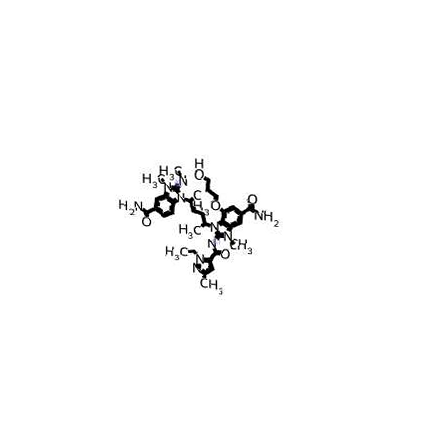 CCn1nc(C)cc1C(=O)/N=c1\n(C)c2cc(C(N)=O)cc(OCCCO)c2n1C(C)CCC(C)n1/c(=N/C)n(C)c2cc(C(N)=O)ccc21